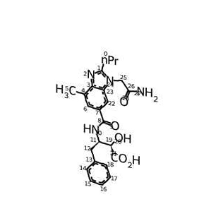 CCCc1nc2c(C)cc(C(=O)N[C@H](Cc3ccccc3)[C@@H](O)C(=O)O)cc2n1CC(N)=O